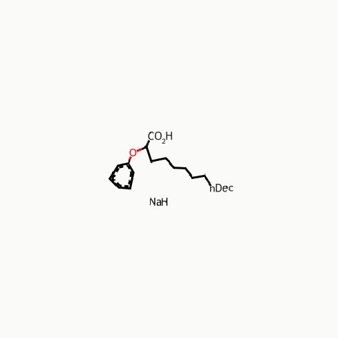 CCCCCCCCCCCCCCCCC(Oc1ccccc1)C(=O)O.[NaH]